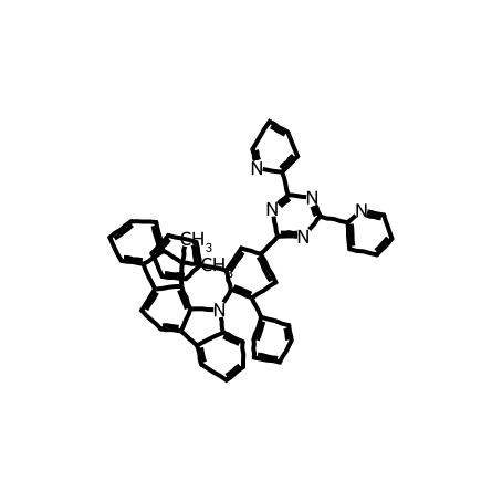 CC1(C)c2ccccc2-c2ccc3c4ccccc4n(-c4c(-c5ccccc5)cc(-c5nc(-c6ccccn6)nc(-c6ccccn6)n5)cc4-c4ccccc4)c3c21